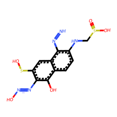 N=Nc1c(NCS(=O)O)ccc2c(O)c(/N=N/O)c(SO)cc12